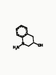 NN1CC(O)Cc2ccccc21